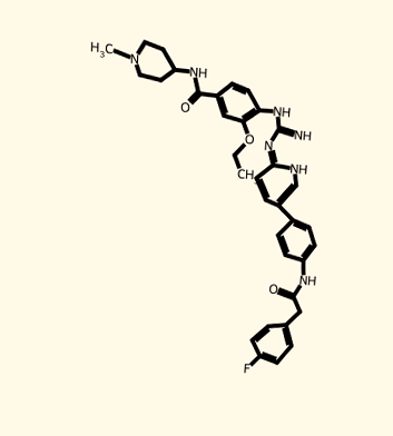 CCOc1cc(C(=O)NC2CCN(C)CC2)ccc1NC(=N)/N=c1/ccc(-c2ccc(NC(=O)Cc3ccc(F)cc3)cc2)c[nH]1